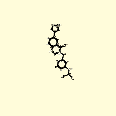 O=c1c2cc(-c3cn[nH]c3)ccc2ncn1Cc1cccc(OC(F)F)c1